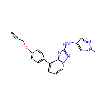 C#CCOc1ccc(-c2cccn3nc(Nc4cnn(C)c4)nc23)cc1